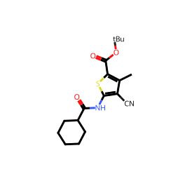 Cc1c(C(=O)OC(C)(C)C)sc(NC(=O)C2CCCCC2)c1C#N